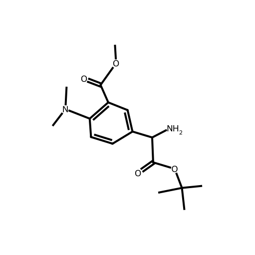 COC(=O)c1cc(C(N)C(=O)OC(C)(C)C)ccc1N(C)C